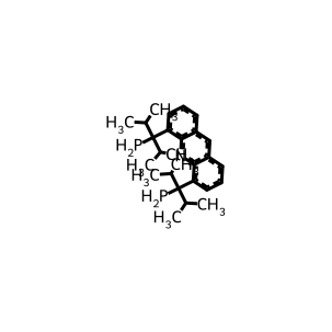 CC(C)C(P)(c1cccc2cc3cccc(C(P)(C(C)C)C(C)C)c3nc12)C(C)C